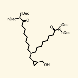 CCCCCCCCCCN(CCCCCCCCCC)C(=O)CCCCCCCN(CCCCCCCC(=O)N(CCCCCCCCCC)CCCCCCCCCC)C[C@@H]1C[C@@H]1CO